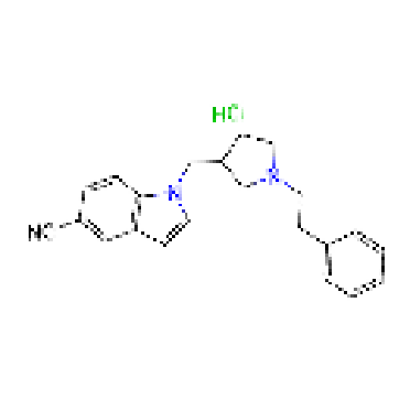 Cl.N#Cc1ccc2c(ccn2CC2CCN(CCc3ccccc3)C2)c1